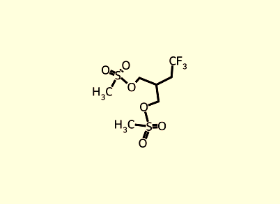 CS(=O)(=O)OCC(COS(C)(=O)=O)CC(F)(F)F